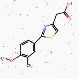 COc1ccc(-c2nc(CC(=O)O)cs2)cc1C